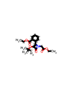 CCOC(=O)CN1C(=O)C(OC(C)(C)C)=C1c1ccccc1C(=O)OCC